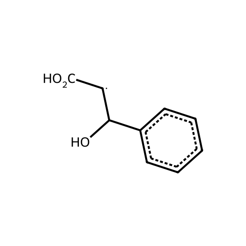 O=C(O)[CH]C(O)c1ccccc1